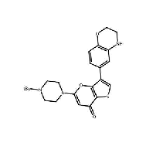 CC(C)(C)N1CCN(c2cc(=O)c3scc(-c4ccc5c(c4)NCCO5)c3o2)CC1